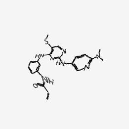 C=CC(=O)Nc1cccc(Nc2nc(Nc3ccc(N(C)C)nc3)ncc2SC)c1